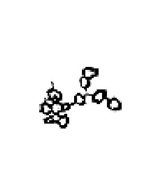 C[C@H]1CC2C[C@@H](C)C[C@H](C1)C21c2ccccc2C2(c3ccccc3-c3ccccc32)c2ccc(-c3ccc(N(c4ccc(-c5ccccc5)cc4)c4ccc5ccccc5c4)cc3)cc21